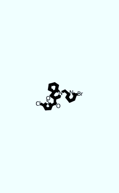 O=C(c1ccc(Cl)s1)c1cn(Cc2cccc(Br)n2)c2ccccc2c1=O